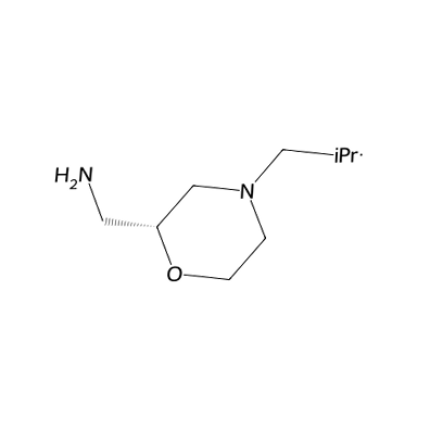 C[C](C)CN1CCO[C@H](CN)C1